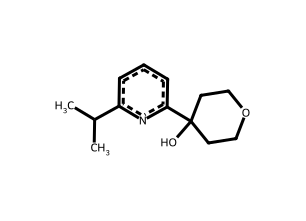 CC(C)c1cccc(C2(O)CCOCC2)n1